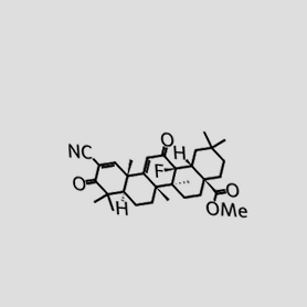 COC(=O)[C@]12CCC(C)(C)C[C@H]1[C@@]1(F)C(=O)C=C3[C@@]4(C)C=C(C#N)C(=O)C(C)(C)[C@@H]4CC[C@@]3(C)[C@]1(C)CC2